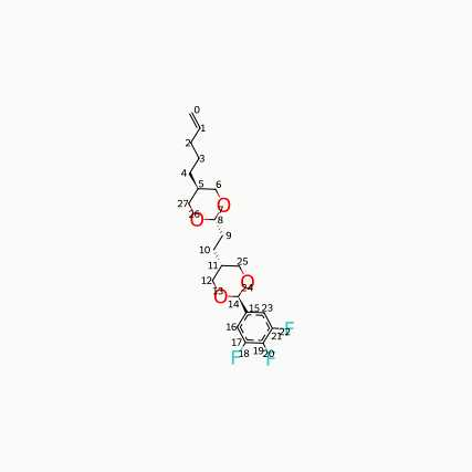 C=CCCC[C@H]1CO[C@H](CC[C@H]2CO[C@H](c3cc(F)c(F)c(F)c3)OC2)OC1